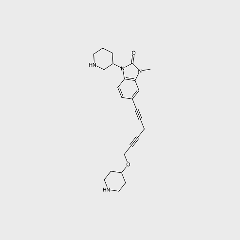 Cn1c(=O)n(C2CCCNC2)c2ccc(C#CCC#CCOC3CCNCC3)cc21